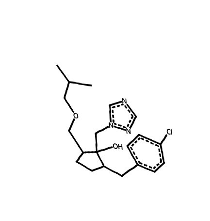 CC(C)COCC1CCC(Cc2ccc(Cl)cc2)C1(O)Cn1cncn1